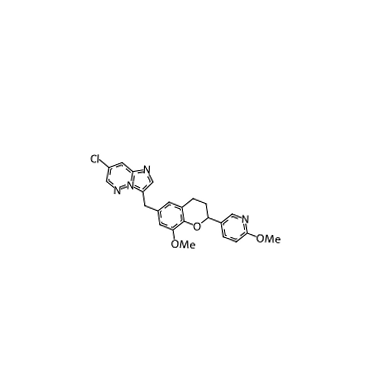 COc1ccc(C2CCc3cc(Cc4cnc5cc(Cl)cnn45)cc(OC)c3O2)cn1